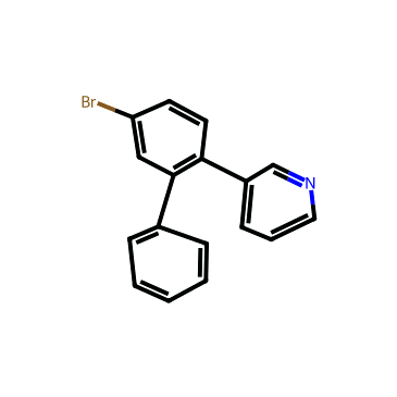 Brc1ccc(-c2cccnc2)c(-c2ccccc2)c1